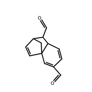 O=CC1=CC23C=CC(C2)C(C=O)C3C=C1